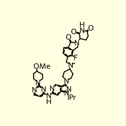 COC1CCN(c2nccc(Nc3cc4c(cn3)c(N3CCC(N(C)Cc5ccc6c(c5F)CN(C5CCC(=O)NC5=O)C6=O)CC3)nn4C(C)C)n2)CC1